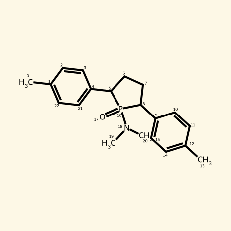 Cc1ccc(C2CCC(c3ccc(C)cc3)P2(=O)N(C)C)cc1